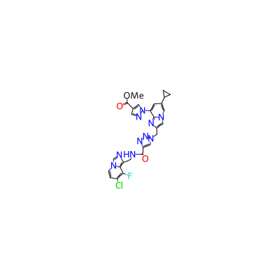 COC(=O)c1cnn(-c2cc(C3CC3)cn3cc(Cn4cc(C(=O)NCc5ncn6ccc(Cl)c(F)c56)nn4)nc23)c1